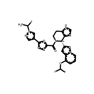 O=C(c1nnc(-c2cnn(C(F)P)c2)o1)N1CCc2[nH]cnc2[C@@H]1c1cc2c(OC(F)F)cccn2n1